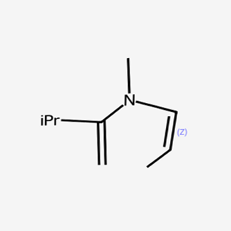 C=C(C(C)C)N(C)/C=C\C